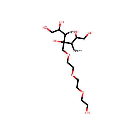 CCCCCC(C(O)CO)C(O)(COCCOCCOCCO)C(CCCCC)C(O)CO